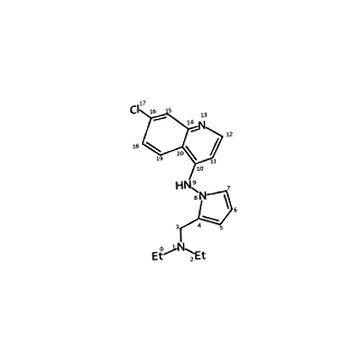 CCN(CC)Cc1cccn1Nc1ccnc2cc(Cl)ccc12